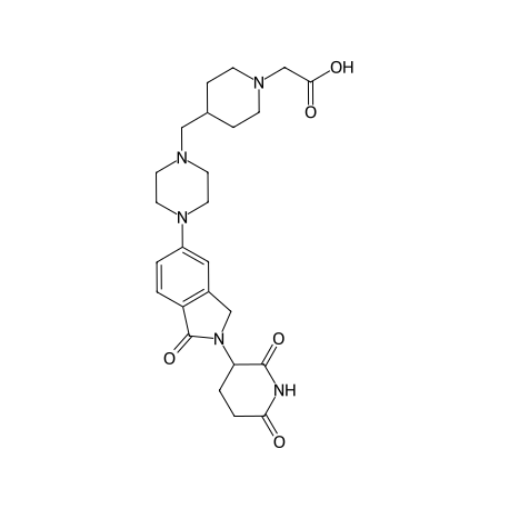 O=C(O)CN1CCC(CN2CCN(c3ccc4c(c3)CN(C3CCC(=O)NC3=O)C4=O)CC2)CC1